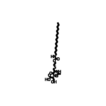 CCCCCCCCCCCCCCCCNC(=O)OCCSCC(NC(C)=O)C(=O)NC(CO)C(=O)O